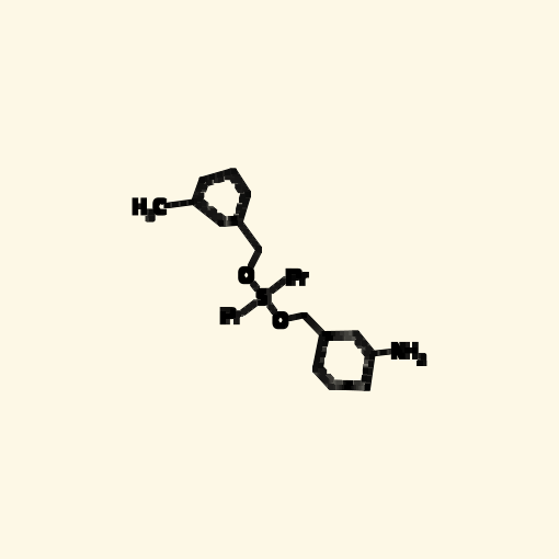 Cc1cccc(CO[Si](OCc2cccc(N)c2)(C(C)C)C(C)C)c1